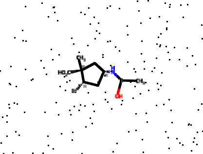 CC[C@H]1C[C@@H](NB(C)O)C[C@]1(C)C(=O)O